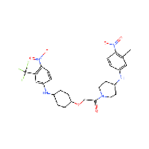 Cc1cc(NC2CCN(C(=O)COC3CCC(Nc4ccc([N+](=O)[O-])c(C(F)(F)F)c4)CC3)CC2)ccc1[N+](=O)[O-]